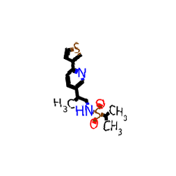 CC(CNS(=O)(=O)C(C)C)c1ccc(-c2ccsc2)nc1